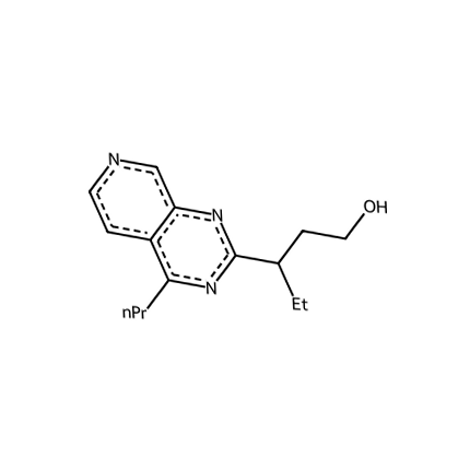 CCCc1nc(C(CC)CCO)nc2cnccc12